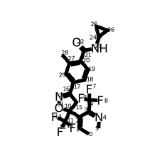 C/C=C(\C(=N/C)C(F)(F)F)C1(C(F)(F)F)CC(c2ccc(C(=O)NC3CC3)c(C)c2)=NO1